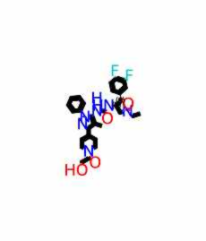 CCN1C[C@@H](NC(=O)Nc2c(C)c(C3=CCN(C(=O)CO)CC3)nn2-c2ccccc2)[C@H](c2ccc(F)c(F)c2)O1